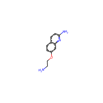 NCCOc1ccc2ccc(N)nc2c1